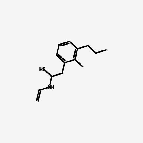 C=CNC(S)Cc1cccc(CCC)c1C